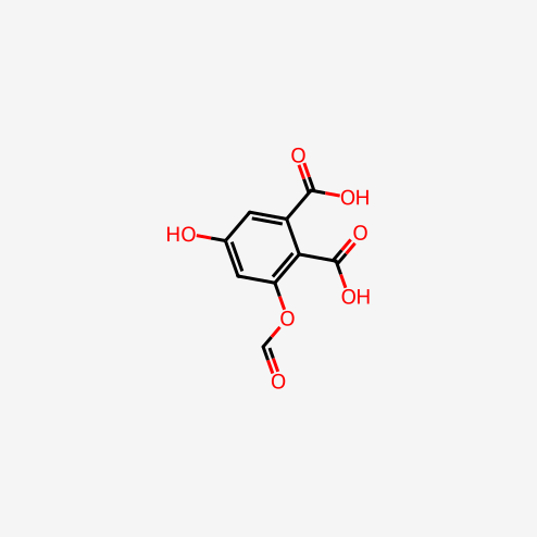 O=COc1cc(O)cc(C(=O)O)c1C(=O)O